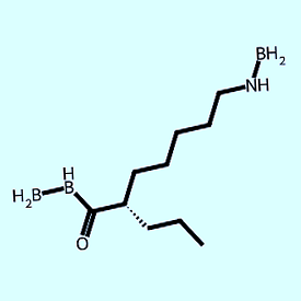 BBC(=O)[C@@H](CCC)CCCCCNB